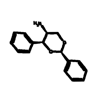 N[C@H]1CO[C@@H](c2ccccc2)O[C@H]1c1ccccc1